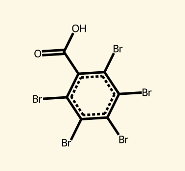 O=C(O)c1c(Br)c(Br)c(Br)c(Br)c1Br